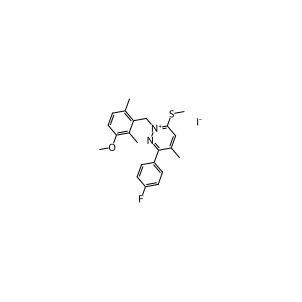 COc1ccc(C)c(C[n+]2nc(-c3ccc(F)cc3)c(C)cc2SC)c1C.[I-]